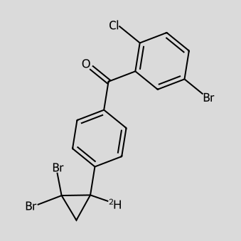 [2H]C1(c2ccc(C(=O)c3cc(Br)ccc3Cl)cc2)CC1(Br)Br